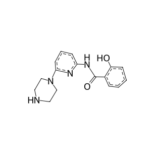 O=C(Nc1cccc(N2CCNCC2)n1)c1ccccc1O